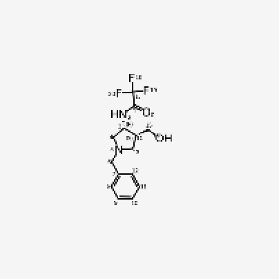 O=C(N[C@H]1CN(Cc2ccccc2)C[C@@H]1CO)C(F)(F)F